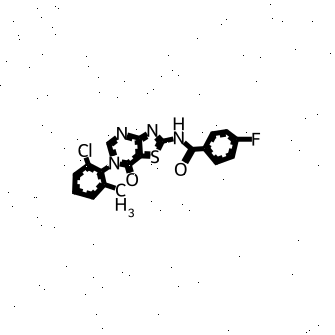 Cc1cccc(Cl)c1-n1cnc2nc(NC(=O)c3ccc(F)cc3)sc2c1=O